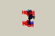 CC(C)c1n[nH]c(OC2OC(CO)C(F)C(O)C2O)c1Cc1ccc(CCCC(=O)NC(CO)(CO)CO)cc1